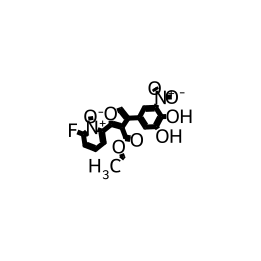 CCOC(=O)c1c(-c2cc(O)c(O)c([N+](=O)[O-])c2)coc1-c1cccc(F)[n+]1[O-]